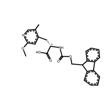 COc1cc(C[C@H](NC(=O)OCC2c3ccccc3-c3ccccc32)C(=O)O)c(C)cn1